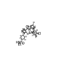 CCNC(=O)c1ccc(-n2nnc(C(=O)Nc3cc(C)nn3-c3ccc(F)c(Cl)c3)c2CSC)cc1